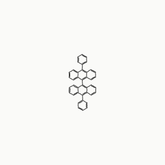 c1ccc(-c2c3ccccc3c(-c3c4ccccc4c(-c4ccccc4)c4ccccc34)c3ccccc23)cc1